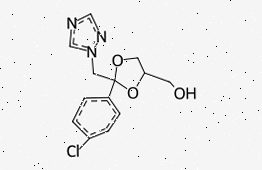 OCC1COC(Cn2cncn2)(c2ccc(Cl)cc2)O1